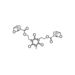 Cn1c(=O)n(CCOC(=O)C2CC3CC24CC3O4)c(=O)n(CCOC(=O)C2CC3CC24CC3O4)c1=O